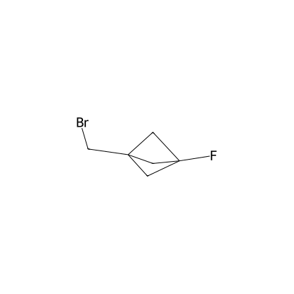 FC12CC(CBr)(C1)C2